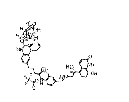 C[N+]1(C)[C@@H]2C[C@@H](OC(=O)Nc3ccc(CCCC(=O)Nc4ccc(CNC[C@H](O)c5ccc(O)c6[nH]c(=O)ccc56)cc4Br)cc3-c3ccccc3)C[C@H]1[C@@H]1O[C@@H]12.O=C([O-])C(F)(F)F